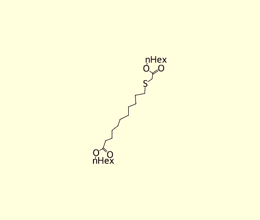 CCCCCCOC(=O)CCCCCCCCCCSCC(=O)OCCCCCC